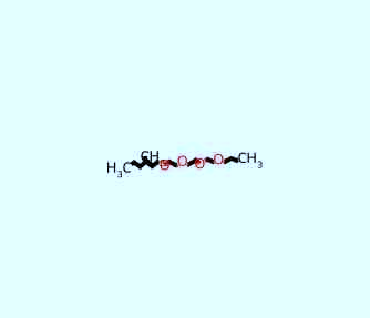 CCCCOCCOCCOCCOC/C=C(\C)CCC